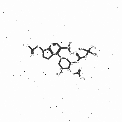 CC(=O)OC1CCc2c1ncc([NH+]([O-])O)c2N1C[C@H](C)[C@@H](OC(C)=O)[C@H](NC(=O)OC(C)(C)C)C1